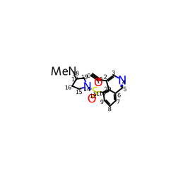 C#Cc1cncc2cccc(S(=O)(=O)N3CCC(NC)C3)c12